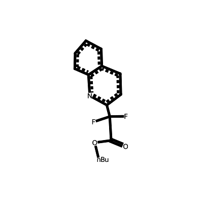 CCCCOC(=O)C(F)(F)c1ccc2ccccc2n1